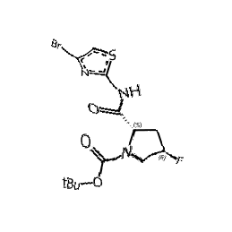 CC(C)(C)OC(=O)N1C[C@H](F)C[C@H]1C(=O)Nc1nc(Br)cs1